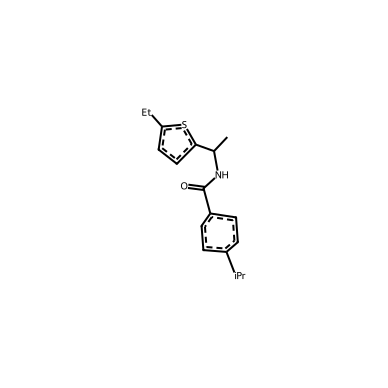 CCc1ccc(C(C)NC(=O)c2ccc(C(C)C)cc2)s1